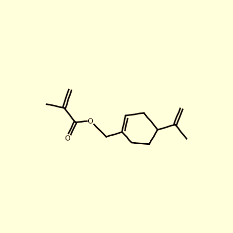 C=C(C)C(=O)OCC1=CCC(C(=C)C)CC1